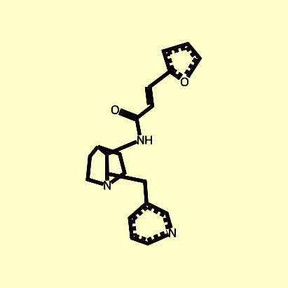 O=C(/C=C/c1ccco1)NC1C2CCN(CC2)C1Cc1cccnc1